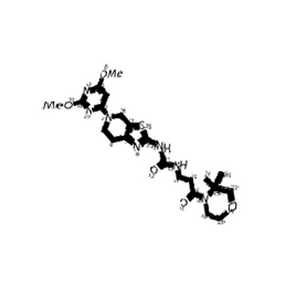 COc1cc(N2CCc3nc(NC(=O)NCCC(=O)N4CCOCC4(C)C)sc3C2)nc(OC)n1